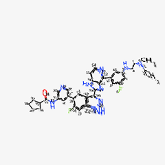 CN(C)CCNc1cc(F)cc(-c2nccc3[nH]c(-c4n[nH]c5cc(F)c(-c6cncc(NC(=O)C7CCCC7)c6)cc45)nc23)c1